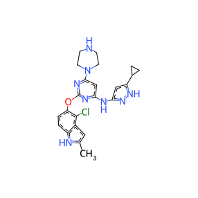 Cc1cc2c(Cl)c(Oc3nc(Nc4cc(C5CC5)[nH]n4)cc(N4CCNCC4)n3)ccc2[nH]1